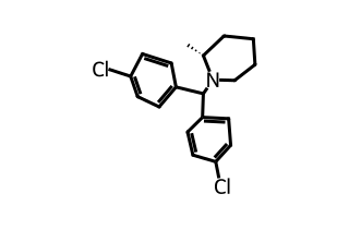 C[C@@H]1CCCCN1C(c1ccc(Cl)cc1)c1ccc(Cl)cc1